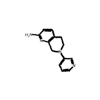 Nc1ccc2c(n1)CN(c1cccnc1)CC2